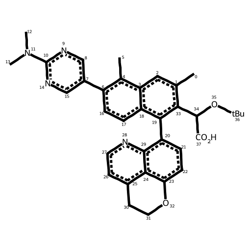 Cc1cc2c(C)c(-c3cnc(N(C)C)nc3)ccc2c(-c2ccc3c4c(ccnc24)CCO3)c1C(OC(C)(C)C)C(=O)O